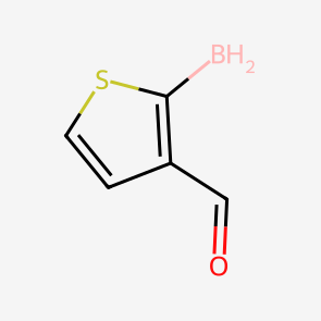 Bc1sccc1C=O